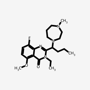 CCCC(c1nc2c(F)ccc(OC)c2c(=O)n1CC)N1CCCN(C)CC1